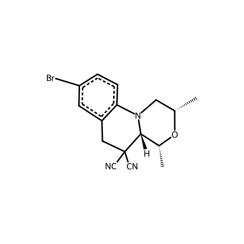 C[C@H]1CN2c3ccc(Br)cc3CC(C#N)(C#N)[C@H]2[C@@H](C)O1